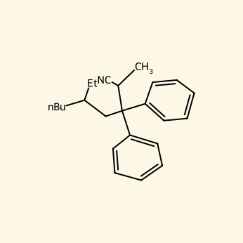 CCCCC(CC)CC(c1ccccc1)(c1ccccc1)C(C)C#N